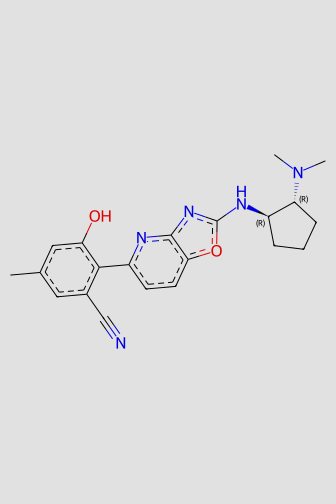 Cc1cc(O)c(-c2ccc3oc(N[C@@H]4CCC[C@H]4N(C)C)nc3n2)c(C#N)c1